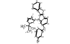 CC(C)(C)c1ccnc(-n2c3cc(Oc4cccc(Br)c4)ccc3c3sc4ccccc4c32)c1